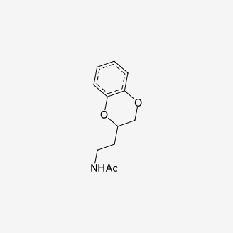 CC(=O)NCCC1COc2ccccc2O1